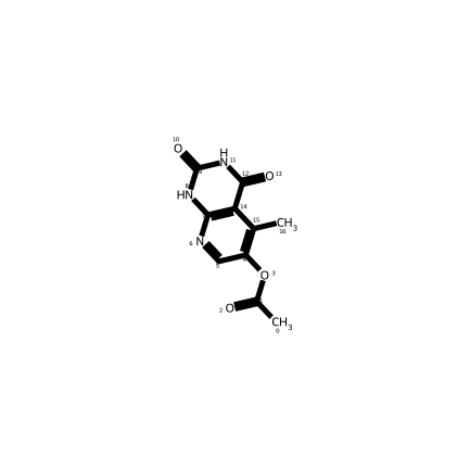 CC(=O)Oc1cnc2[nH]c(=O)[nH]c(=O)c2c1C